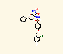 O=C(NO)C1(NS(=O)(=O)c2ccc(OCc3ccc(F)cc3Cl)cc2)CCC(c2ccccc2)OC1